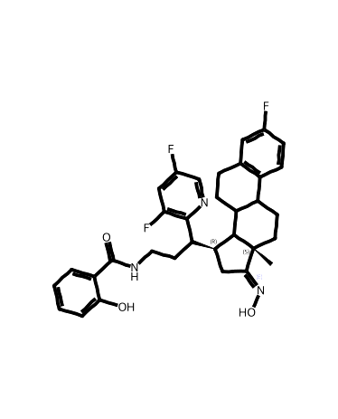 C[C@]12CCC3c4ccc(F)cc4CCC3C1[C@H](C(CCNC(=O)c1ccccc1O)c1ncc(F)cc1F)C/C2=N\O